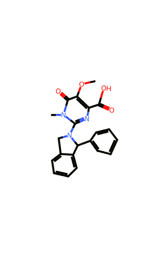 COc1c(C(=O)O)nc(N2Cc3ccccc3C2c2ccccc2)n(C)c1=O